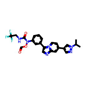 CC(C)n1cc(-c2ccn3c(-c4cccc(N(OC=O)C(=O)NCC(F)(F)F)c4)cnc3c2)cn1